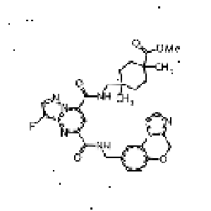 COC(=O)C1(C)CCC(C)(CNC(=O)c2cc(C(=O)NCc3ccc4c(c3)-n3ccnc3CO4)nc3c(F)cnn23)CC1